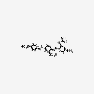 NC(=O)Nc1cc(N)ccc1N=Nc1ccc(/N=N/c2ccc(S(=O)(=O)O)cc2)cc1S(=O)(=O)O